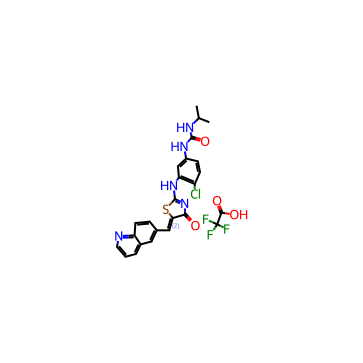 CC(C)NC(=O)Nc1ccc(Cl)c(NC2=NC(=O)/C(=C/c3ccc4ncccc4c3)S2)c1.O=C(O)C(F)(F)F